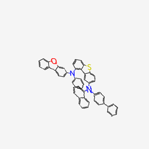 c1ccc(-c2ccc(N(c3ccc4sc5cccc(N(c6ccccc6)c6ccc7c(c6)oc6ccccc67)c5c4c3)c3cccc4ccccc34)cc2)cc1